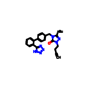 C#CCCn1nc(CCCC)n(Cc2ccc(-c3ccccc3-c3nnn[nH]3)cc2)c1=O